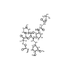 C=CC(=O)OCC(C)(C)C(=O)C(=O)N1CCN(C)C[C@H]1C(=O)O[C@H](CCc1ccc(OC)c(OC)c1)c1cccc(NC(=O)CCC(=O)OC(C)(C)C)c1